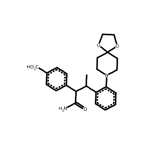 CC(c1ccccc1N1CCC2(CC1)OCCO2)C(C(N)=O)c1ccc(C(=O)O)cc1